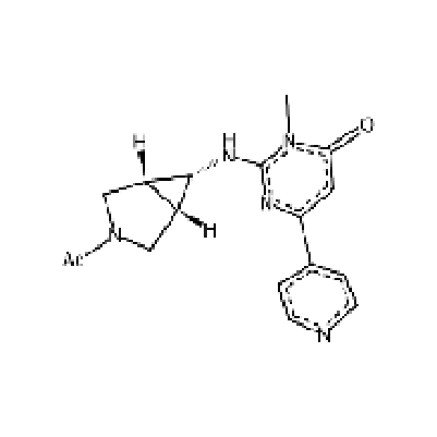 CC(=O)N1C[C@@H]2[C@H](C1)[C@@H]2Nc1nc(-c2ccncc2)cc(=O)n1C